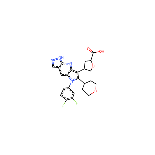 O=C(O)C1CC(c2c(C3CCOCC3)n(-c3ccc(F)c(F)c3)c3cc4cn[nH]c4nc23)CO1